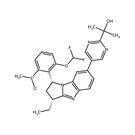 CC[C@@H]1C[C@H](c2c(OC(F)F)cccc2[S+](C)[O-])n2c1nc1ccc(-c3cnc(C(C)(C)O)nc3)cc12